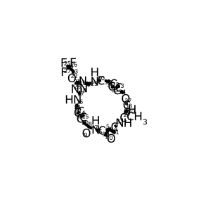 C[C@@H]1CNCC2(CNC(=O)c3ccc(cc3)Nc3nc(nc(OCC(F)(F)F)n3)NCc3ccc(cc3)OC1)COC2